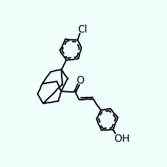 O=C(C=Cc1ccc(O)cc1)C12CC3CC(C1)CC(c1ccc(Cl)cc1)(C3)C2